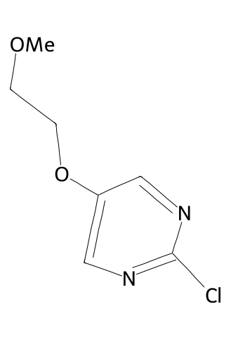 COCCOc1cnc(Cl)nc1